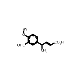 CC(C)Oc1ccc(C(C)/C=C/C(=O)O)cc1C=O